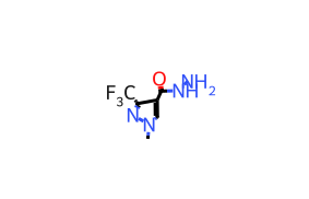 Cn1cc(C(=O)NN)c(C(F)(F)F)n1